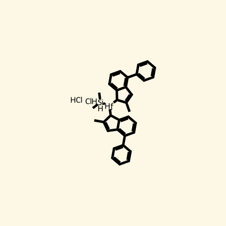 CC1=Cc2c(-c3ccccc3)cccc2[CH]1[Hf]([CH]1C(C)=Cc2c(-c3ccccc3)cccc21)[SiH](C)C.Cl.Cl